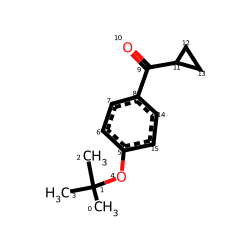 CC(C)(C)Oc1ccc(C(=O)C2CC2)cc1